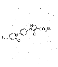 CCOC(=O)c1cnn(-c2ccc(-n3ccc(CI)cc3=O)cc2)c1Cl